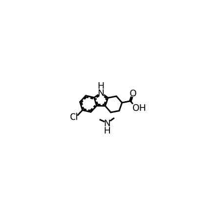 CNC.O=C(O)C1CCc2c([nH]c3ccc(Cl)cc23)C1